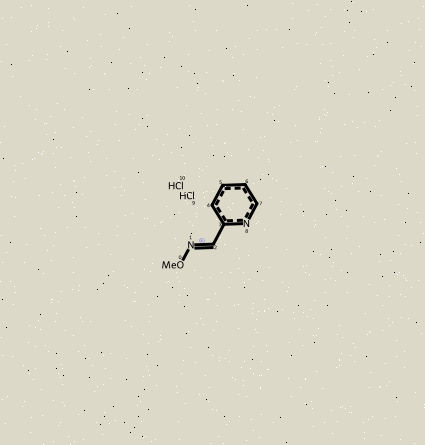 CO/N=C/c1ccccn1.Cl.Cl